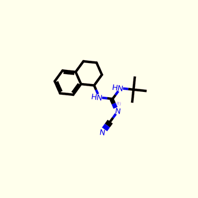 CC(C)(C)N/C(=N/C#N)NC1CCCc2ccccc21